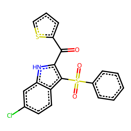 O=C(c1cccs1)c1[nH]c2cc(Cl)ccc2c1S(=O)(=O)c1ccccc1